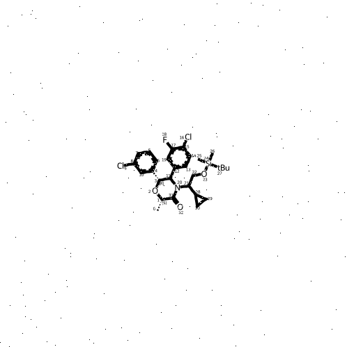 C[C@@H]1O[C@H](c2cccc(Cl)c2)C(c2ccc(Cl)c(F)c2)N(C(CO[Si](C)(C)C(C)(C)C)C2CC2)C1=O